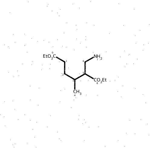 CCOC(=O)CCC(C)C(CN)C(=O)OCC